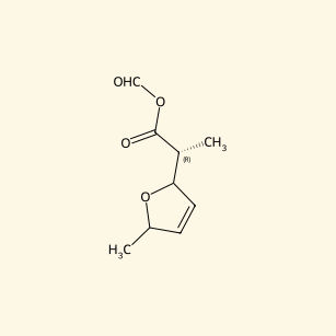 CC1C=CC([C@@H](C)C(=O)OC=O)O1